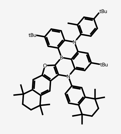 Cc1cc(C(C)(C)C)ccc1N1c2ccc(C(C)(C)C)cc2B2c3oc4cc5c(cc4c3N(c3ccc4c(c3)C(C)(C)CCC4(C)C)c3cc(C(C)(C)C)cc1c32)C(C)(C)CCC5(C)C